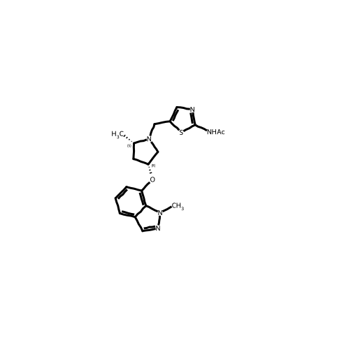 CC(=O)Nc1ncc(CN2C[C@H](Oc3cccc4cnn(C)c34)C[C@@H]2C)s1